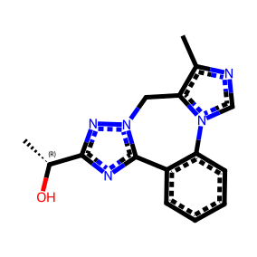 Cc1ncn2c1Cn1nc([C@@H](C)O)nc1-c1ccccc1-2